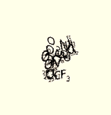 COC(=O)c1cc(C(=O)Oc2cc(C)cc(C)c2[N+](=O)[O-])cnc1Oc1cccc(C(F)(F)F)c1